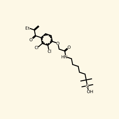 C=C(CC)C(=O)c1ccc(OCC(=O)NCCCCCC(C)(C)[Si](C)(C)O)c(Cl)c1Cl